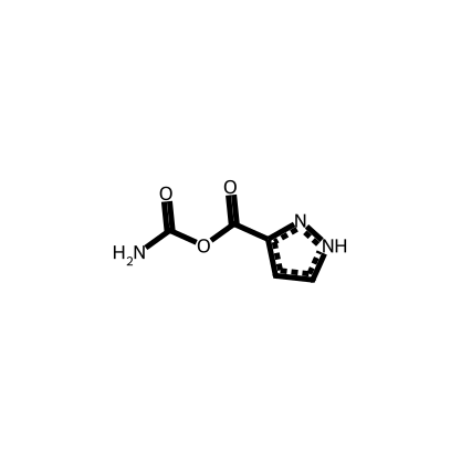 NC(=O)OC(=O)c1cc[nH]n1